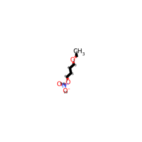 CCOCCCCO[N+](=O)[O-]